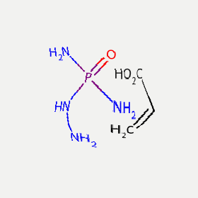 C=CC(=O)O.NNP(N)(N)=O